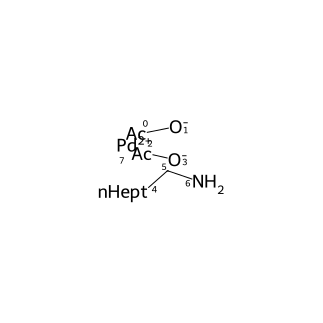 CC(=O)[O-].CC(=O)[O-].CCCCCCCCN.[Pd+2]